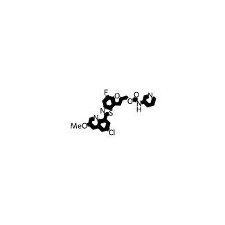 COc1cnc2c(-c3nc4cc(F)c5c(c4s3)CC(COC(=O)Nc3cccnc3)O5)cc(Cl)cc2c1